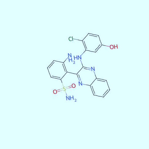 Nc1cccc(S(N)(=O)=O)c1-c1nc2ccccc2nc1Nc1cc(O)ccc1Cl